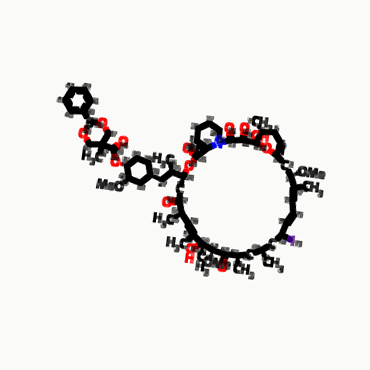 CO[C@H]1C[C@@H]2CC[C@@H](C)[C@@](O)(O2)C(=O)C(=O)N2CCCC[C@H]2C(=O)O[C@H]([C@H](C)C[C@@H]2CC[C@@H](OC(=O)C3(C)COB(c4ccccc4)OC3)[C@H](OC)C2)CC(=O)[C@H](C)/C=C(\C)[C@](C)(O)[C@@H](OC)C(=O)[C@H](C)C[C@H](C)CC(I)/C=C/C=C/1C